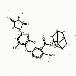 COc1ccc(Oc2c(Cl)cc(N3CC(=O)NC3=O)cc2Cl)cc1C(=O)NC12CC3CC(CC(C3)C1)C2